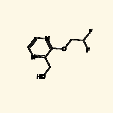 OCc1nccnc1OCC(F)F